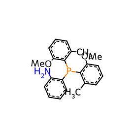 COc1cccc(C)c1P(c1ccccc1N)c1c(C)cccc1OC